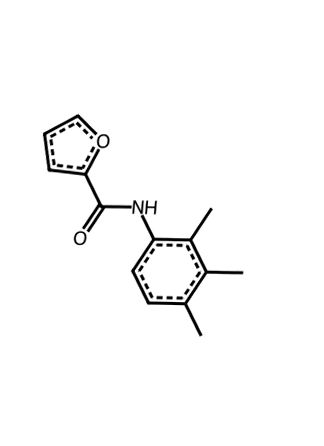 Cc1ccc(NC(=O)c2ccco2)c(C)c1C